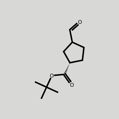 CC(C)(C)OC(=O)[C@H]1CCC(C=O)C1